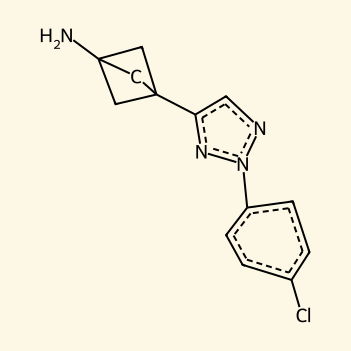 NC12CC(c3cnn(-c4ccc(Cl)cc4)n3)(C1)C2